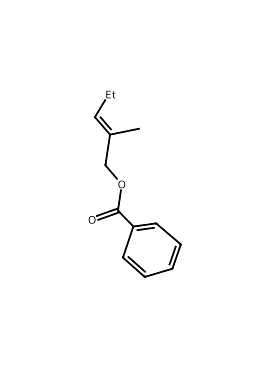 CC/C=C(\C)COC(=O)c1ccccc1